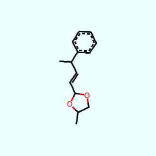 CC1COC(C=CC(C)c2ccccc2)O1